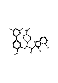 CN[C@H]1CC[C@@H](C(Cc2cc(-c3cc(C)nc(C)c3)ccc2OC)C(=O)c2sc3cccc(F)c3c2Cl)CC1